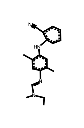 CCN(C)C=Nc1cc(C)c(Nc2ccccc2C#N)cc1C